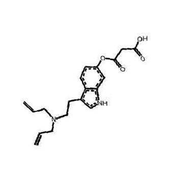 C=CCN(CC=C)CCc1c[nH]c2cc(OC(=O)CC(=O)O)ccc12